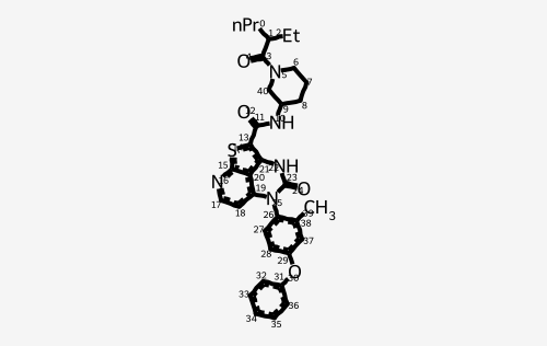 CCCC(CC)C(=O)N1CCCC(NC(=O)c2sc3nccc4c3c2NC(=O)N4c2ccc(Oc3ccccc3)cc2C)C1